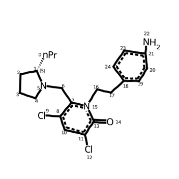 CCC[C@H]1CCCN1Cc1c(Cl)cc(Cl)c(=O)n1CCc1ccc(N)cc1